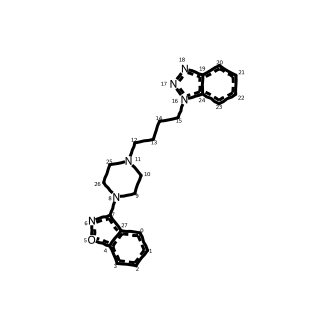 [c]1cccc2onc(N3CCN(CCCCn4nnc5ccccc54)CC3)c12